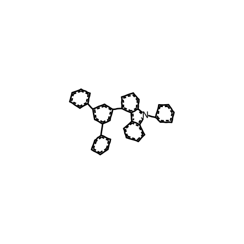 c1ccc(-c2cc(-c3ccccc3)cc(-c3cccc4c3c3ccccc3n4-c3ccccc3)c2)cc1